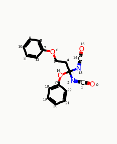 O=C=NC(CCOc1ccccc1)(N=C=O)Oc1ccccc1